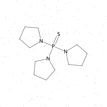 S=P(N1CCCC1)(N1CCCC1)N1CCCC1